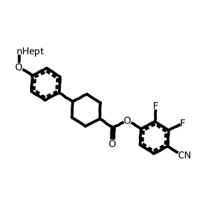 CCCCCCCOc1ccc(C2CCC(C(=O)Oc3ccc(C#N)c(F)c3F)CC2)cc1